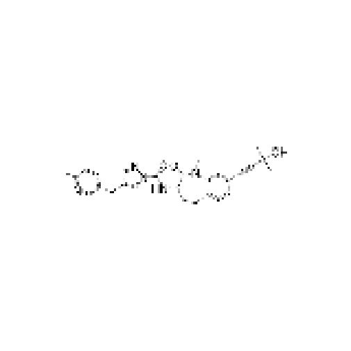 Cc1ccc(Cc2cnn(C(=O)N[C@H]3CCc4ccc(C#CC(C)(C)O)cc4N(C)C3=O)c2)cn1